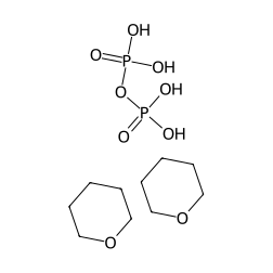 C1CCOCC1.C1CCOCC1.O=P(O)(O)OP(=O)(O)O